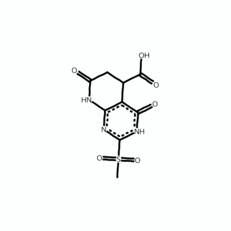 CS(=O)(=O)c1nc2c(c(=O)[nH]1)C(C(=O)O)CC(=O)N2